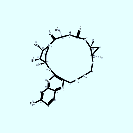 CC[C@@H]1[C@@H]2CN(C(=O)[C@H](C(C)(C)C)NC(=O)O[C@]3(C)C[C@H]3CCCCCc3nc4ccc(C(F)(F)F)cc4nc3O2)[C@@H]1C(C)=O